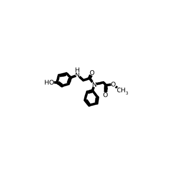 COC(=O)CN(C(=O)CNc1ccc(O)cc1)c1ccccc1